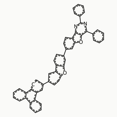 c1ccc(-c2nc(-c3ccccc3)c3oc4cc(-c5ccc6c(c5)oc5ccc(-c7ccc8c9ccccc9c9ccccc9c8c7)cc56)ccc4c3n2)cc1